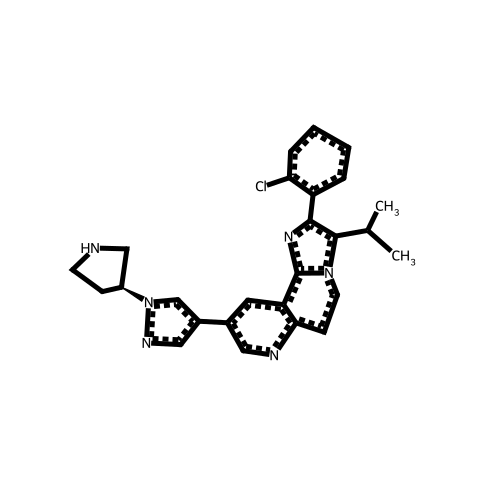 CC(C)c1c(-c2ccccc2Cl)nc2c3cc(-c4cnn([C@H]5CCNC5)c4)cnc3ccn12